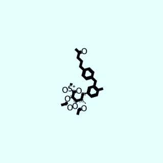 CC(=O)CCCc1ccc(Cc2cc([C@@H]3O[C@H]([S+](C)[O-])[C@@H](OC(C)=O)[C@H](OC(C)=O)[C@H]3C)ccc2C)cc1